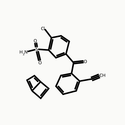 C#Cc1ccccc1C(=O)c1ccc(Cl)c(S(N)(=O)=O)c1.c1cc2ccc1-2